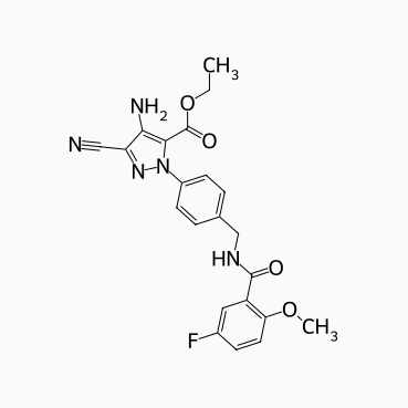 CCOC(=O)c1c(N)c(C#N)nn1-c1ccc(CNC(=O)c2cc(F)ccc2OC)cc1